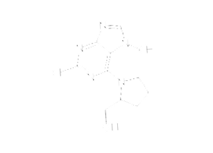 Cn1cnc2nc(Cl)nc(N3CCCC3CO)c21